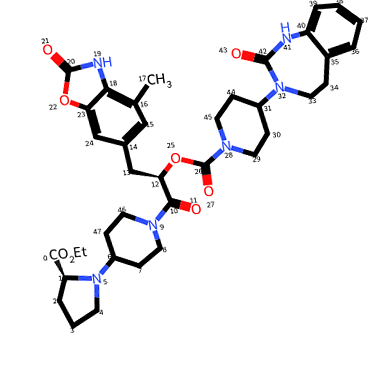 CCOC(=O)[C@@H]1CCCN1C1CCN(C(=O)[C@@H](Cc2cc(C)c3[nH]c(=O)oc3c2)OC(=O)N2CCC(N3CCc4ccccc4NC3=O)CC2)CC1